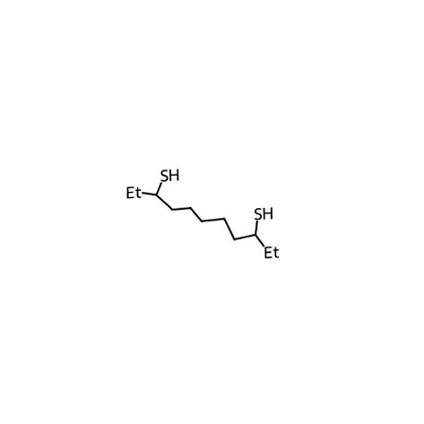 CCC(S)CCCCCC(S)CC